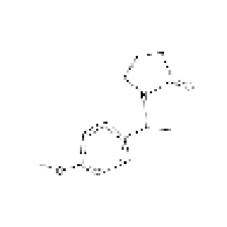 COc1ccc(C(C)N2CCCC2=O)cc1